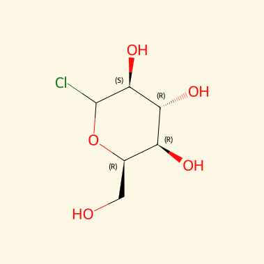 OC[C@H]1OC(Cl)[C@@H](O)[C@H](O)[C@H]1O